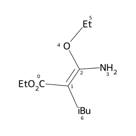 CCOC(=O)C(=C(N)OCC)C(C)CC